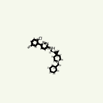 Fc1ccc(Cl)c(-c2ccc(NC[C@H]3CC34CCN(CC3CCCCC3)CC4)nn2)c1